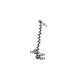 C1CO1.CCCCCCCCCCCCCCCCCC(=O)O[C@H](CO)[C@H]1OC[C@H](O)[C@H]1O